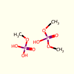 COP(=O)(O)O.COP(=O)(O)OC